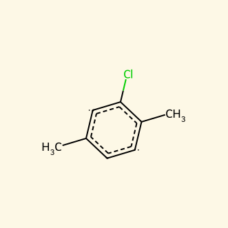 Cc1[c]c(Cl)c(C)[c]c1